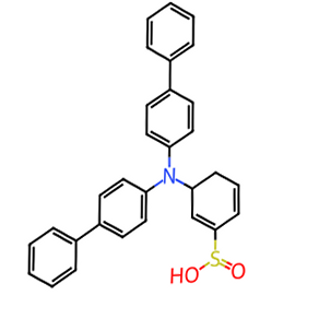 O=S(O)C1=CC(N(c2ccc(-c3ccccc3)cc2)c2ccc(-c3ccccc3)cc2)CC=C1